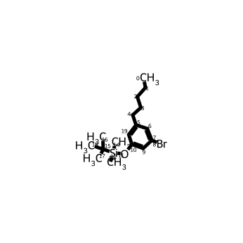 CCCCCc1cc(Br)cc(O[Si](C)(C)C(C)(C)C)c1